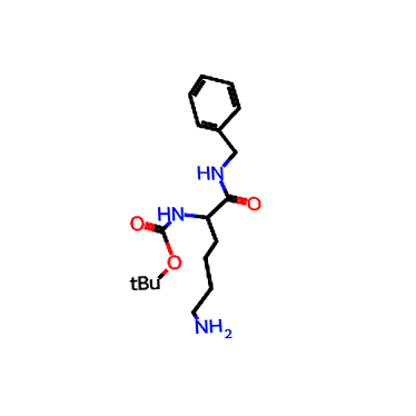 CC(C)(C)OC(=O)NC(CCCCN)C(=O)NCc1ccccc1